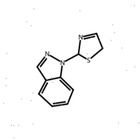 C1=NC(n2ncc3ccccc32)SC1